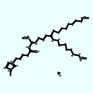 CCCCCCCCCCCCCCCCCCC(CCCCCCCCCCCCCCCCCC)CCCCC(CCCCCCCCCC)OC(=O)CCCC[n+]1ccn(C)c1.[Br-]